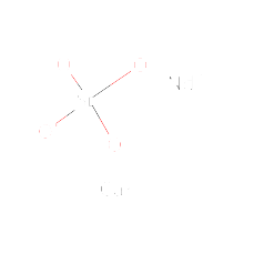 [Ca+2].[Nd+3].[O-][Si]([O-])([O-])[O-]